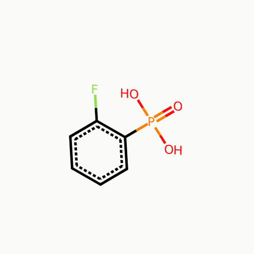 O=P(O)(O)c1ccccc1F